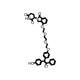 CC/C(=C(\c1ccc(O)cc1)c1ccc(OCCOCCOCCOc2cccc3c2CN(C2CCC(=O)NC2=O)C3=O)cc1)c1ccccc1